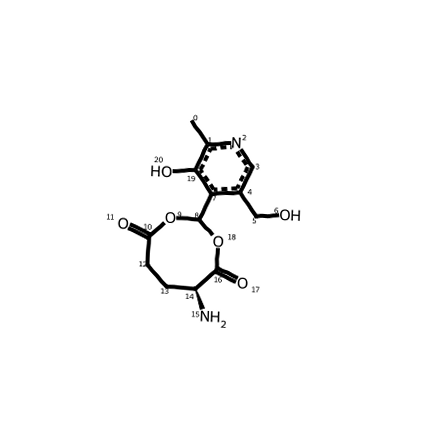 Cc1ncc(CO)c(C2OC(=O)CC[C@H](N)C(=O)O2)c1O